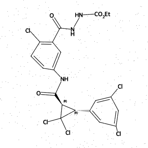 CCOC(=O)NNC(=O)c1cc(NC(=O)[C@H]2[C@H](c3cc(Cl)cc(Cl)c3)C2(Cl)Cl)ccc1Cl